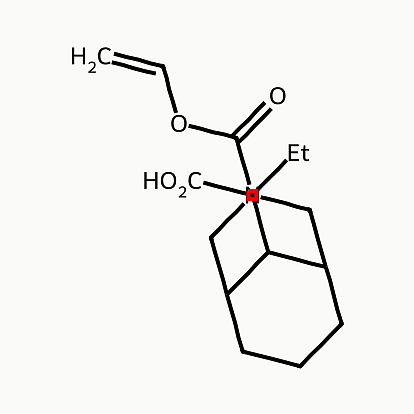 C=COC(=O)N1CC2CCCC(C1)C2C(CC)C(=O)O